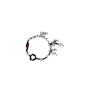 CCC[Si]1(C)CCCOc2ccc(cc2)Oc2ccc(cc2)OCCC[Si](C)(O)CCC[Si](C)(O[SiH](C)O)O1